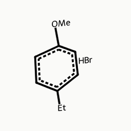 Br.CCc1ccc(OC)cc1